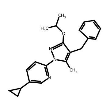 Cc1c(Cc2ccccc2)c(OC(C)C)nn1-c1ccc(C2CC2)cn1